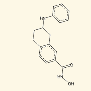 O=C(NO)c1ccc2c(c1)CC(Nc1ccccc1)CC2